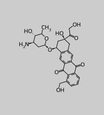 CC1O[C@@H](O[C@H]2C[C@](O)(C(=O)CO)Cc3cc4c(cc32)C(=O)c2c(CO)cccc2C4=O)C[C@@H](N)[C@@H]1O